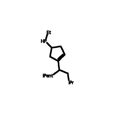 CCCC(C)C(CC(C)C)C1=CCC(PCC)C1